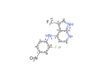 O=[N+]([O-])c1ccc(Nc2ccnc3[nH]cc(C(F)(F)F)c23)c(F)c1